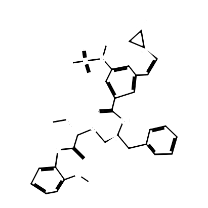 CC[C@H](NC[C@H](Cc1ccccc1)NC(=O)c1cc(/C=C\[C@H]2C[C@@H]2C)cc(N(C)S(C)(=O)=O)c1)C(=O)Nc1ccccc1OC